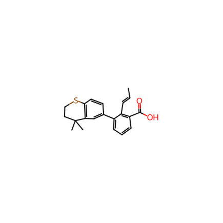 CC=Cc1c(C(=O)O)cccc1-c1ccc2c(c1)C(C)(C)CCS2